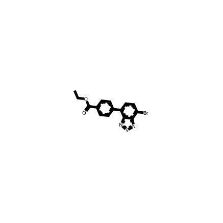 CCOC(=O)c1ccc(-c2ccc(Br)c3nsnc23)cc1